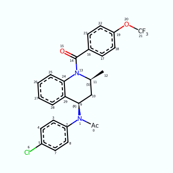 CC(=O)N(c1ccc(Cl)cc1)[C@@H]1C[C@H](C)N(C(=O)c2ccc(OC(F)(F)F)cc2)c2ccccc21